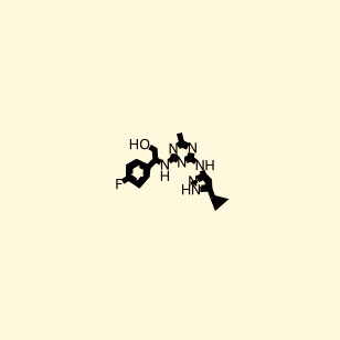 Cc1nc(Nc2cc(C3CC3)[nH]n2)nc(NC(CO)c2ccc(F)cc2)n1